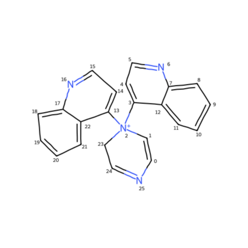 C1=C[N+](c2ccnc3ccccc23)(c2ccnc3ccccc23)CC=N1